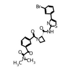 CN(C)C(=O)C(=O)c1cccc(C(=O)N2CC[C@H]2C(=O)Nc2nc(-c3cccc(Br)c3)cs2)c1